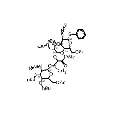 CCCCOC[C@H](OCCCC)[C@@H](OC(C(=O)OC)[C@H](C)O[C@H]1OC(COC(C)=O)[C@@H](OCCCC)[C@H](OCCCC)C1N=[N+]=[N-])O[C@@H]1C(COC(C)=O)O[C@@H](Sc2ccccc2)C(N=[N+]=[N-])[C@H]1OC(C)=O